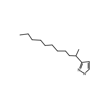 CCCCCCCCCC(C)C1=N[N]C=C1